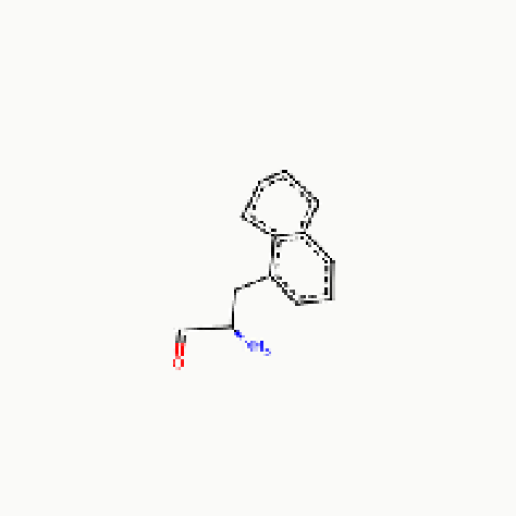 N[C@@H]([C]=O)Cc1cccc2ccccc12